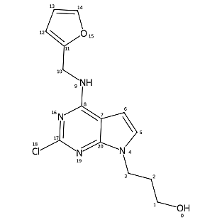 OCCCn1ccc2c(NCc3ccco3)nc(Cl)nc21